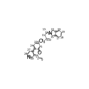 C=CC1Oc2cc(OCC(C)C[C@H](C)N3Cc4ccccc4C3)ccc2-c2ccncc21